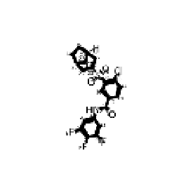 O=C(Nc1cc(F)c(F)c(F)c1)c1ccc(Cl)c(S(=O)(=O)[C@@H]2CC3CC[C@@H](C2)C3=O)c1